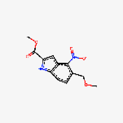 COCc1ccc2[nH]c(C(=O)OC)cc2c1[N+](=O)[O-]